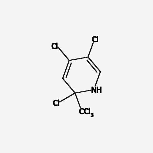 ClC1=CNC(Cl)(C(Cl)(Cl)Cl)C=C1Cl